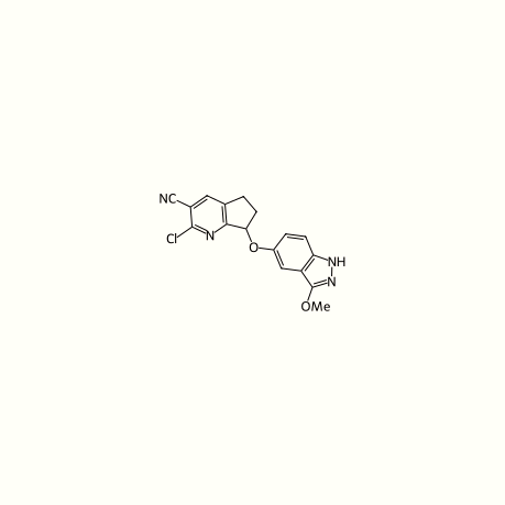 COc1n[nH]c2ccc(OC3CCc4cc(C#N)c(Cl)nc43)cc12